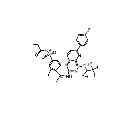 CCC(=O)NS(=O)(=O)c1ccc([C@H](C)Nc2nc(NC3(C(F)(F)F)CC3)c3nc(-c4ccc(F)cc4)ccc3n2)c(C)c1